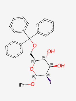 CC(C)O[C@@H]1O[C@@H](COC(c2ccccc2)(c2ccccc2)c2ccccc2)[C@H](O)[C@@H](O)[C@H]1I